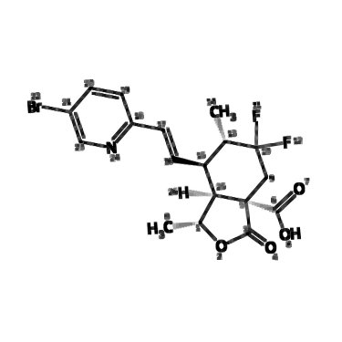 C[C@H]1OC(=O)[C@]2(C(=O)O)CC(F)(F)[C@@H](C)[C@H](C=Cc3ccc(Br)cn3)[C@H]12